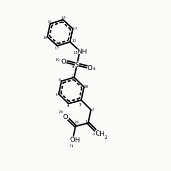 C=C(Cc1cccc(S(=O)(=O)Nc2ccccc2)c1)C(=O)O